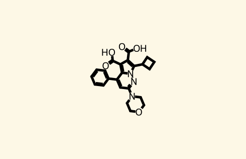 O=C(O)c1c(C(=O)O)c2c(-c3ccccc3)cc(N3CCOCC3)nn2c1C1CCC1